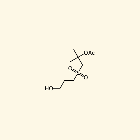 CC(=O)OC(C)(C)CS(=O)(=O)CCCO